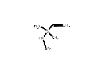 C=C[Si](C)(C)NCCC